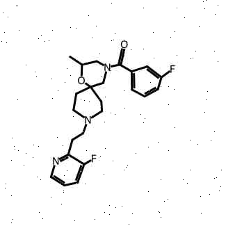 CC1CN(C(=O)c2cccc(F)c2)CC2(CCN(CCc3ncccc3F)CC2)O1